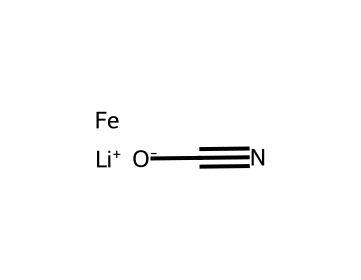 N#C[O-].[Fe].[Li+]